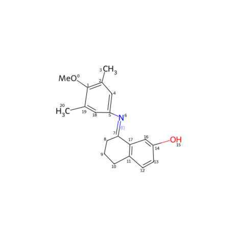 COc1c(C)cc(/N=C2\CCCc3ccc(O)cc32)cc1C